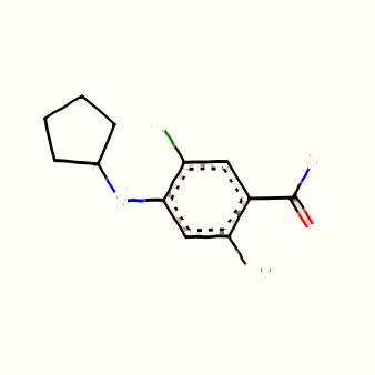 COc1cc(NC2CCCC2)c(Cl)cc1C(N)=O